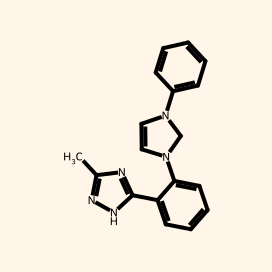 Cc1n[nH]c(-c2ccccc2N2C=CN(c3ccccc3)C2)n1